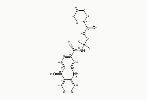 CC(C)(COC(=O)N1CCOCC1)NC(=O)c1ccc2c(=O)c3ccccc3[nH]c2c1